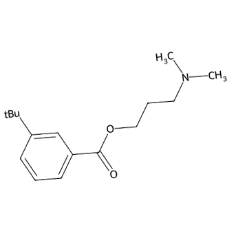 CN(C)CCCOC(=O)c1cccc(C(C)(C)C)c1